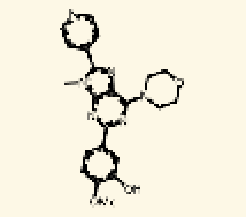 COc1ccc(-c2nc(N3CCOCC3)c3nc(-c4ccncc4)n(C)c3n2)cc1O